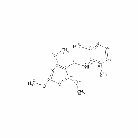 COc1cc(OC)c(CNc2c(C)cccc2C)c(OC)c1